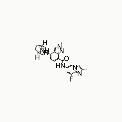 Cc1cn2cc(NC(=O)c3ccc(N4C[C@H]5CC[C@@H](C4)N5)c4cn(C)nc34)cc(F)c2n1